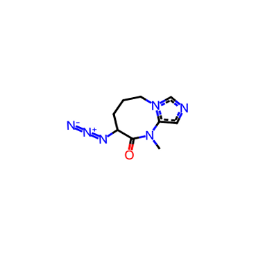 CN1C(=O)C(N=[N+]=[N-])CCCn2cncc21